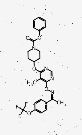 CC(=NOc1ncnc(OC2CCN(C(=O)Oc3ccccc3)CC2)c1C)c1ccc(OC(F)(F)F)cc1